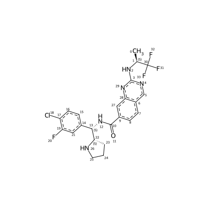 C[C@H](Nc1ncc2ccc(C(=O)N[C@@H](c3ccc(Cl)c(F)c3)[C@@H]3CCCN3)cc2n1)C(F)(F)F